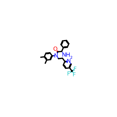 Cc1ccc(N(CCc2ccc(C(F)(F)F)cn2)C(=O)[C@@H](N)c2ccccc2)cc1C